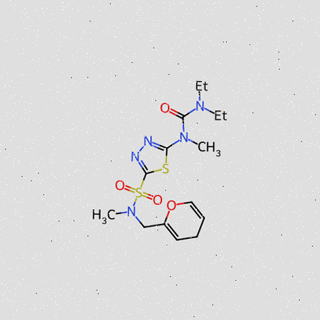 CCN(CC)C(=O)N(C)c1nnc(S(=O)(=O)N(C)CC2=CCC=CO2)s1